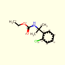 CCOC(=O)NC(C)(C)c1ccccc1Cl